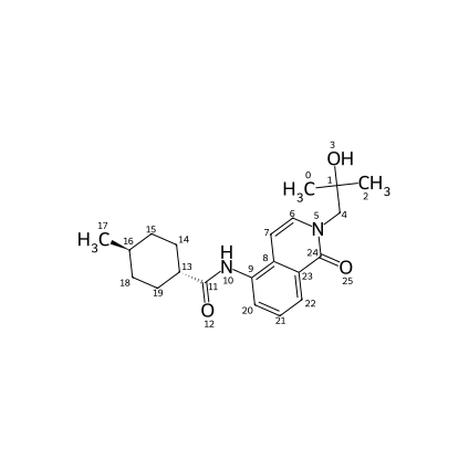 CC(C)(O)Cn1ccc2c(NC(=O)[C@H]3CC[C@H](C)CC3)cccc2c1=O